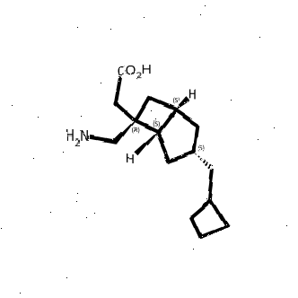 NC[C@@]1(CC(=O)O)C[C@@H]2C[C@H](CC3CCC3)C[C@@H]21